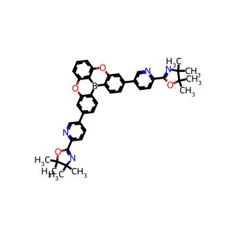 CC1(C)N=C(c2ccc(-c3ccc4c(c3)Oc3cccc5c3B4c3ccc(-c4ccc(C6=NC(C)(C)C(C)(C)O6)nc4)cc3O5)cn2)OC1(C)C